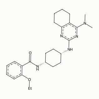 CCOc1ccccc1C(=O)N[C@H]1CC[C@@H](Nc2nc3c(c(N(C)C)n2)CCCC3)CC1